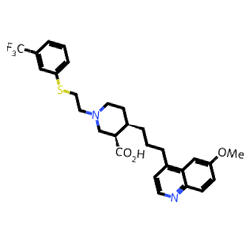 COc1ccc2nccc(CCC[C@@H]3CCN(CCSc4cccc(C(F)(F)F)c4)C[C@@H]3C(=O)O)c2c1